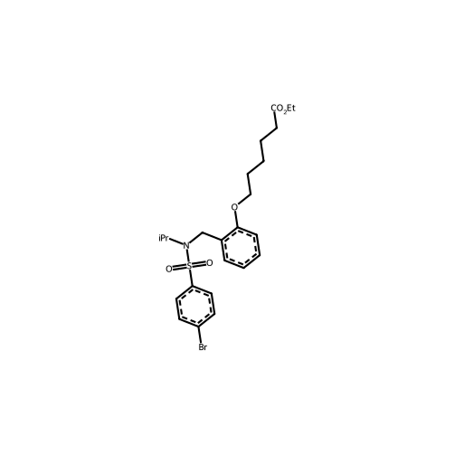 CCOC(=O)CCCCCOc1ccccc1CN(C(C)C)S(=O)(=O)c1ccc(Br)cc1